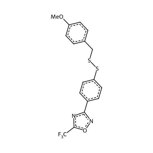 COc1ccc(CSSc2ccc(-c3noc(C(F)(F)F)n3)cc2)cc1